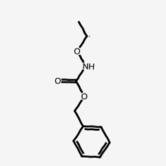 C[CH]ONC(=O)OCc1ccccc1